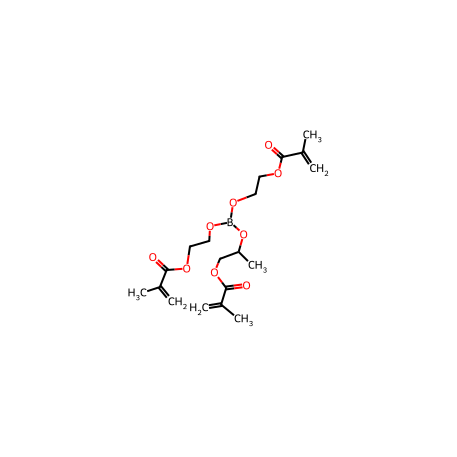 C=C(C)C(=O)OCCOB(OCCOC(=O)C(=C)C)OC(C)COC(=O)C(=C)C